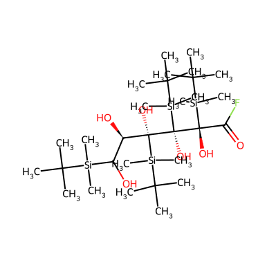 CC(C)(C)[Si](C)(C)C(O)[C@@H](O)[C@@](O)([C@](O)([C@@](O)(C(=O)F)[Si](C)(C)C(C)(C)C)[Si](C)(C)C(C)(C)C)[Si](C)(C)C(C)(C)C